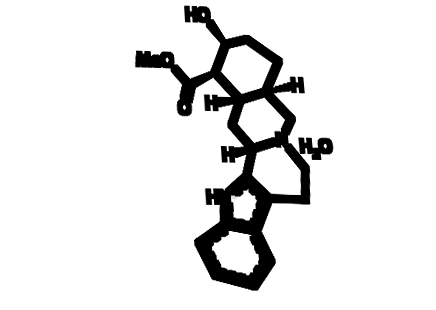 COC(=O)[C@@H]1[C@H]2C[C@H]3c4[nH]c5ccccc5c4CCN3C[C@@H]2CC[C@@H]1O.O